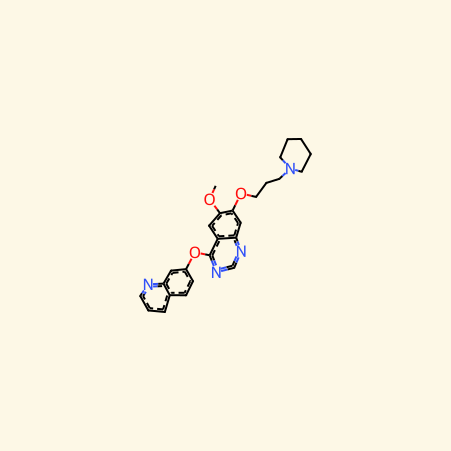 COc1cc2c(Oc3ccc4cccnc4c3)ncnc2cc1OCCCN1CCCCC1